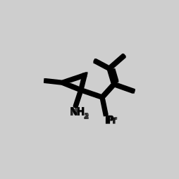 CC(C)=C(C)C(C(C)C)C1(N)CC1C